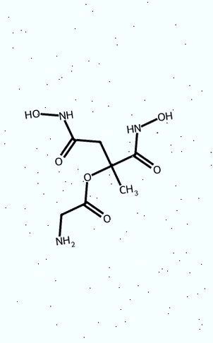 CC(CC(=O)NO)(OC(=O)CN)C(=O)NO